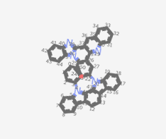 c1ccc(-n2c3ccccc3c3ccc4c5ccccc5n(-c5ccc6c(c5)c5nc7ccccc7cc5c5nc7ccccc7n65)c4c32)cc1